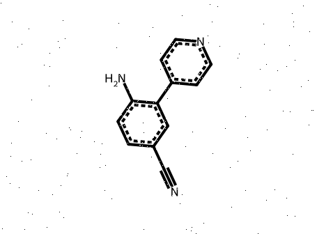 N#Cc1ccc(N)c(-c2ccncc2)c1